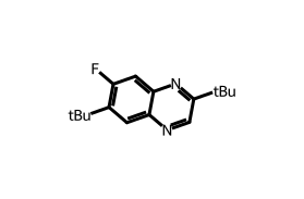 CC(C)(C)c1cnc2cc(C(C)(C)C)c(F)cc2n1